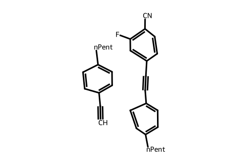 C#Cc1ccc(CCCCC)cc1.CCCCCc1ccc(C#Cc2ccc(C#N)c(F)c2)cc1